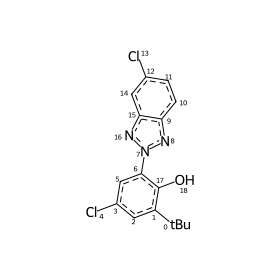 CC(C)(C)c1cc(Cl)cc(-n2nc3ccc(Cl)cc3n2)c1O